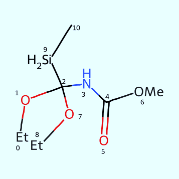 CCOC(NC(=O)OC)(OCC)[SiH2]C